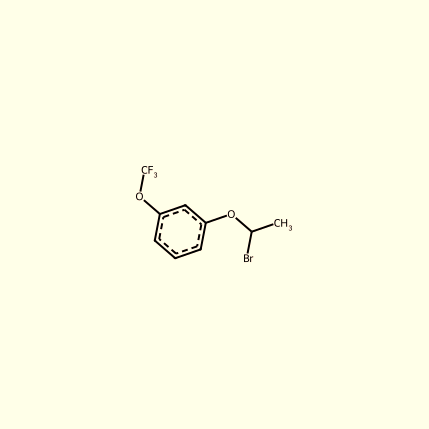 CC(Br)Oc1cccc(OC(F)(F)F)c1